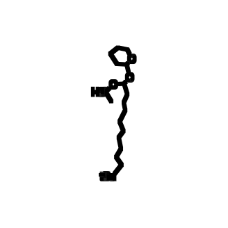 C[SiH](C)OC(CCCCCCCCCC(C)(C)C)OC1CCCCO1